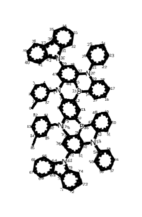 Cc1cccc(N2c3cc4c(cc3B3c5ccccc5N(c5ccccc5)c5cc(-n6c7ccccc7c7ccccc76)cc2c53)B2c3ccccc3N(c3ccccc3)c3cc(-n5c6ccccc6c6ccccc65)cc(c32)N4c2cccc(C)c2)c1